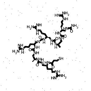 CC(CNC(=O)N[C@@H](CCCNC(=N)N)CNC(N)=O)NC(=O)NC[C@H](CCCNC(=N)N)NC(=O)NCC(CCCNC(=N)N)NC(=O)NC[C@H](C)NC(=O)NCC(CCCNC(=N)N)NC(=O)CCS